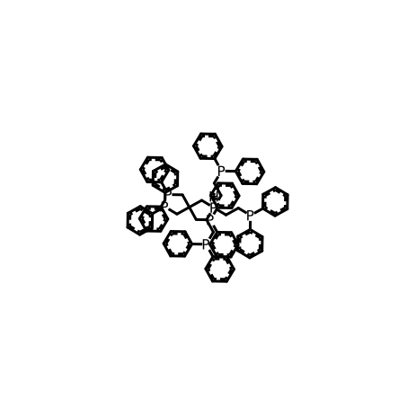 c1ccc(P(CC[PH](CCP(c2ccccc2)c2ccccc2)(CCP(c2ccccc2)c2ccccc2)CC(CP(c2ccccc2)c2ccccc2)(CP(c2ccccc2)c2ccccc2)CP(c2ccccc2)c2ccccc2)c2ccccc2)cc1